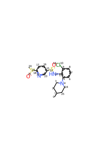 CC1CCN(c2cccc(Cl)c2N[S+]([O-])c2ccc([S+](C)[O-])nc2)CC1